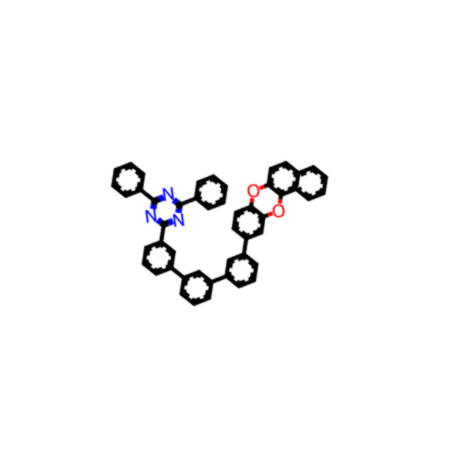 c1ccc(-c2nc(-c3ccccc3)nc(-c3cccc(-c4cccc(-c5cccc(-c6ccc7c(c6)Oc6c(ccc8ccccc68)O7)c5)c4)c3)n2)cc1